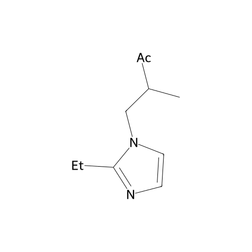 CCc1nccn1CC(C)C(C)=O